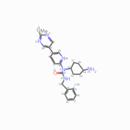 COc1ncc(-c2ccc(N(C(=O)NCc3ccccc3F)C3CCC(N)CC3)nc2)cn1